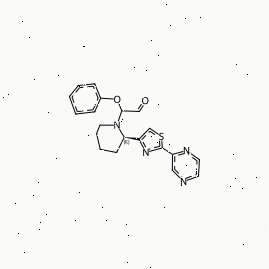 O=CC(Oc1ccccc1)N1CCCC[C@@H]1c1csc(-c2cnccn2)n1